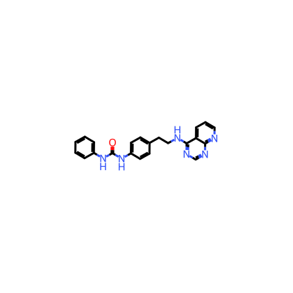 O=C(Nc1ccccc1)Nc1ccc(CCNc2ncnc3ncccc23)cc1